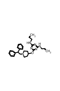 C=CCNc1nc(NCC=C)nc(OC2CCN(CC(c3ccccc3)c3ccccc3)CC2)n1